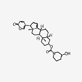 C[C@]12CC[C@H](OC(=O)N3CCC[C@H](O)C3)C[C@H]1CC[C@H]1C3=CC[C@H](c4ccc(=O)oc4)[C@@]3(C)CC[C@@H]12